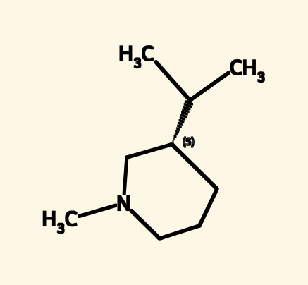 CC(C)[C@@H]1CCCN(C)C1